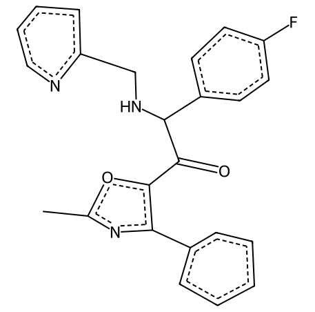 Cc1nc(-c2ccccc2)c(C(=O)C(NCc2ccccn2)c2ccc(F)cc2)o1